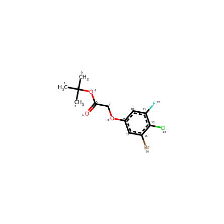 CC(C)(C)OC(=O)COc1cc(F)c(Cl)c(Br)c1